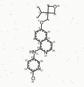 CC(C)C1(COc2ccc3c(Nc4ccc(Cl)nc4)nccc3c2)COC1